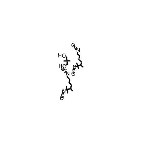 CC(C)(CO)CO.CC(CCCCN=C=O)C(C)(C)N=C=O.CC(CCCCN=C=O)C(C)(C)N=C=O